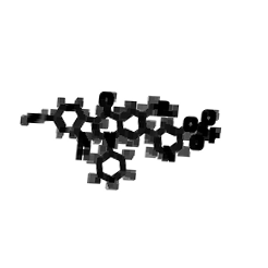 C#Cc1ccc2c(c1)[nH]c1c2c(=O)c2cc(CCCC)c(-c3cncc(OS(=O)(=O)F)c3)cc2n1C1CCCCC1